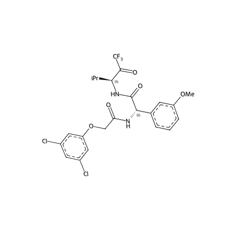 COc1cccc([C@H](NC(=O)COc2cc(Cl)cc(Cl)c2)C(=O)N[C@H](C(=O)C(F)(F)F)C(C)C)c1